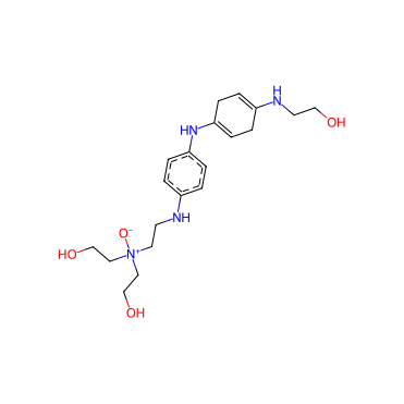 [O-][N+](CCO)(CCO)CCNc1ccc(NC2=CCC(NCCO)=CC2)cc1